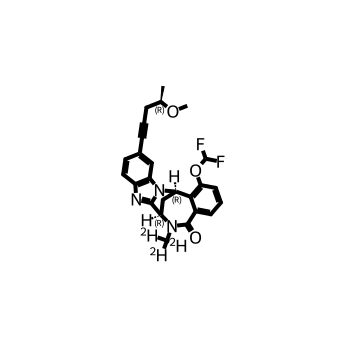 [2H]C([2H])([2H])N1C(=O)c2cccc(OC(F)F)c2[C@H]2C[C@@H]1c1nc3ccc(C#CC[C@@H](C)OC)cc3n12